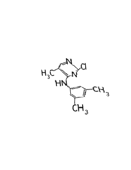 Cc1cc(C)cc(Nc2nc(Cl)ncc2C)c1